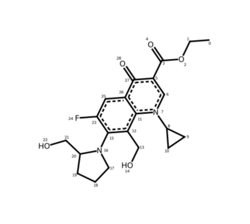 CCOC(=O)c1cn(C2CC2)c2c(CO)c(N3CCCC3CO)c(F)cc2c1=O